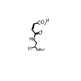 CCCCC(CC)CNC(=O)/C=C\C(=O)O